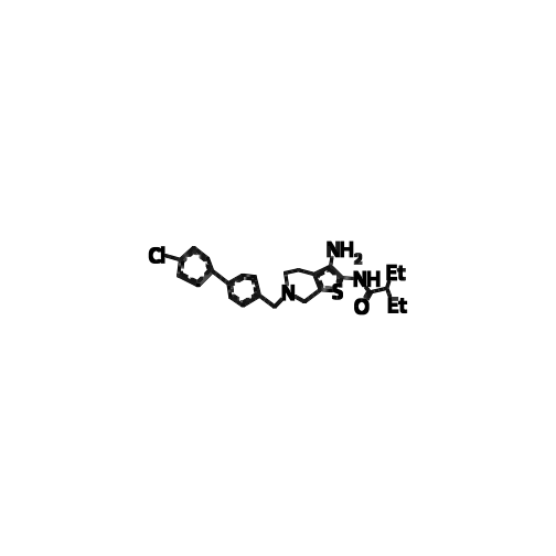 CCC(CC)C(=O)Nc1sc2c(c1N)CCN(Cc1ccc(-c3ccc(Cl)cc3)cc1)C2